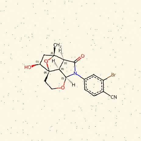 C[C@@]12C[C@H](O)[C@]3(CCO[C@H]4[C@@H]3[C@@H]1C(=O)N4c1ccc(C#N)c(Br)c1)O2